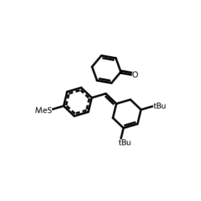 CSc1ccc(C=C2CC(C(C)(C)C)=CC(C(C)(C)C)C2)cc1.O=C1C=CCC=C1